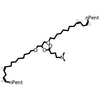 CCCCC/C=C\C/C=C\CCCCCCCCOCC(COCCCCCCCC/C=C\C/C=C\CCCCC)OC(=O)CCCN(C)C